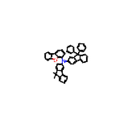 CC1(C)c2ccccc2-c2cc(N(c3ccc4c(c3)C(c3ccccc3)(c3ccccc3)c3ccccc3-4)c3cccc4c3oc3ccccc34)ccc21